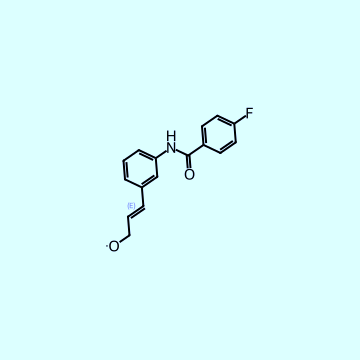 [O]C/C=C/c1cccc(NC(=O)c2ccc(F)cc2)c1